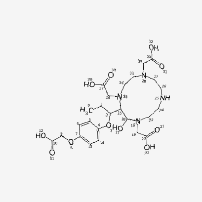 CCC(Oc1ccc(OCC(=O)O)cc1)C1C(O)N(CC(=O)O)CCNCCN(CC(=O)O)CCN1CC(=O)O